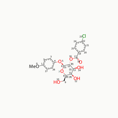 COc1ccc(O[C@@H]2O[C@H](CO)[C@H](O)[C@H](O)[C@H]2OC(=O)c2ccc(Cl)cc2)cc1